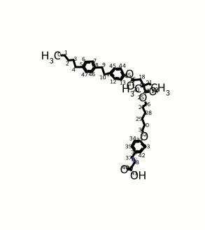 CCCCCc1ccc(CCc2ccc(OC(=O)CC(C)(CC)C(=O)OCCCCCCOc3ccc(/C=C/C(=O)O)cc3)cc2)cc1